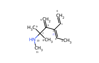 C=C/C(=C\C)C(=C)C(C)(C)NC